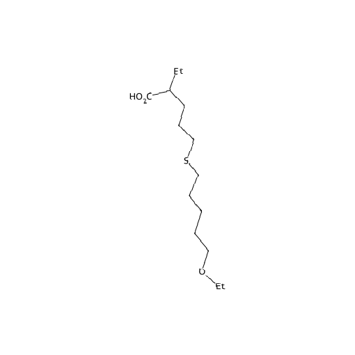 CCOCCCCCSCCCC(CC)C(=O)O